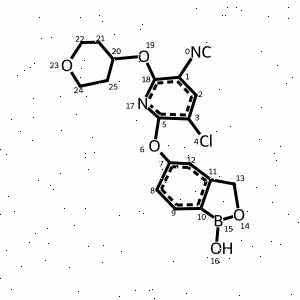 [C-]#[N+]c1cc(Cl)c(Oc2ccc3c(c2)COB3O)nc1OC1CCOCC1